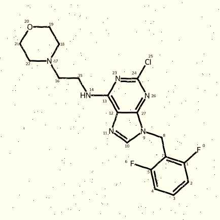 Fc1cccc(F)c1Cn1cnc2c(NCCN3CCOCC3)nc(Cl)nc21